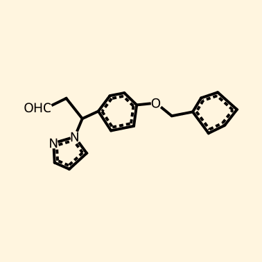 O=CCC(c1ccc(OCc2ccccc2)cc1)n1cccn1